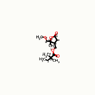 CCC(C)(C)C(=O)OCC1CC(=O)OC1(C)COC